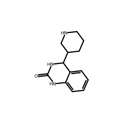 O=C1Nc2ccccc2C(C2CCCNC2)N1